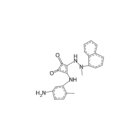 Cc1ccc(N)cc1Nc1c(NN(C)c2cccc3ccccc23)c(=O)c1=O